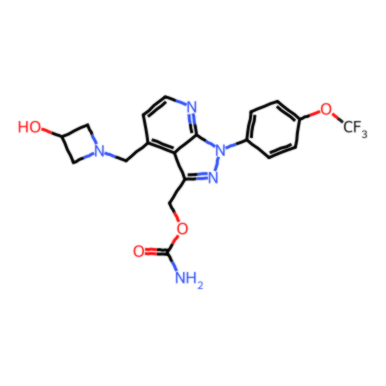 NC(=O)OCc1nn(-c2ccc(OC(F)(F)F)cc2)c2nccc(CN3CC(O)C3)c12